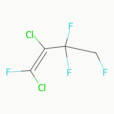 FCC(F)(F)C(Cl)=C(F)Cl